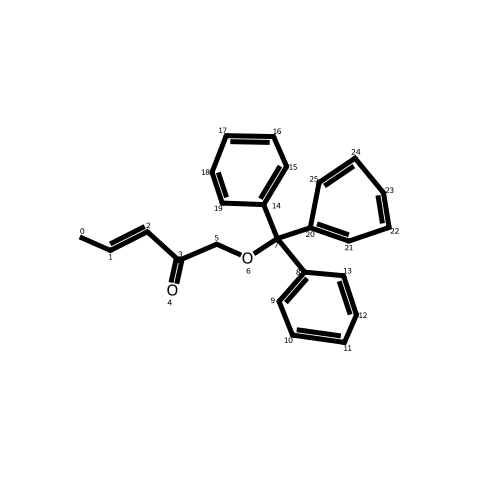 C/C=C/C(=O)COC(c1ccccc1)(c1ccccc1)c1ccccc1